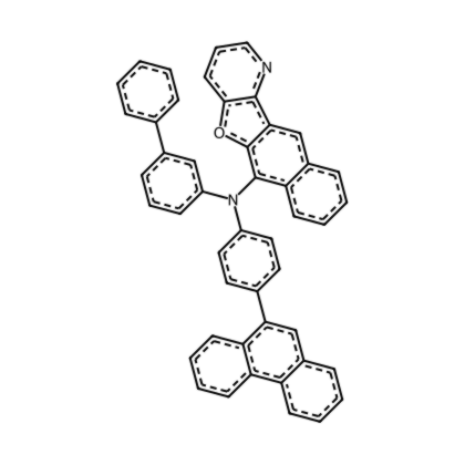 c1ccc(-c2cccc(N(c3ccc(-c4cc5ccccc5c5ccccc45)cc3)c3c4ccccc4cc4c3oc3cccnc34)c2)cc1